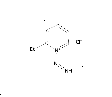 CCc1cccc[n+]1N=N.[Cl-]